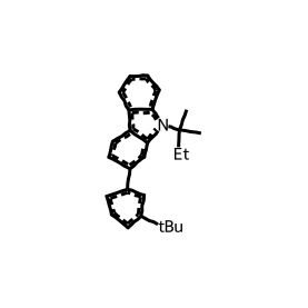 CCC(C)(C)n1c2ccccc2c2ccc(-c3cccc(C(C)(C)C)c3)cc21